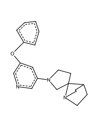 c1ccc(Oc2cncc(N3CCC4(C3)C3CCN4CC3)c2)cc1